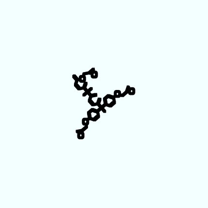 C=C(/C=C\C(=C)C(C)(C)C(=C)/C=C\C(=C)C(C)(c1ccc(OCC2CO2)cc1)c1ccc(OCC2CO2)cc1)OCC1CO1